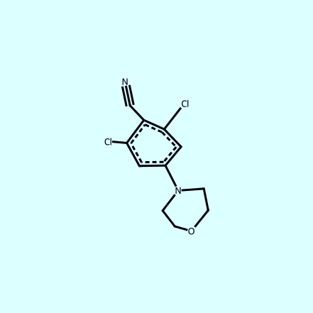 N#Cc1c(Cl)cc(N2CCOCC2)cc1Cl